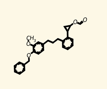 COc1cc(CCCc2ccccc2C2CC2OC=O)ccc1OCc1ccccc1